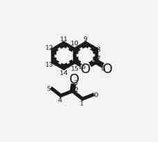 CCC(=O)CC.O=c1ccc2ccccc2o1